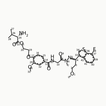 COCC/C(=N\N(C)C(=O)CNC(=O)c1ccc(OCCOC(=O)[C@@H](N)C(C)C)c(OC)c1)c1csc2c(F)cccc12